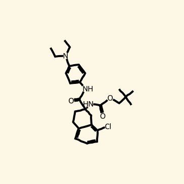 CCN(CC)c1ccc(NC(=O)[C@@]2(NC(=O)OCC(C)(C)C)CCc3cccc(Cl)c3C2)cc1